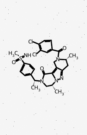 C[C@@H]1Cc2nn3c(c2CN1C(=O)c1ccc(Cl)c(Cl)c1)C(=O)N([C@H](C)c1ccc([S@](C)(=N)=O)cc1)C[C@H]3C